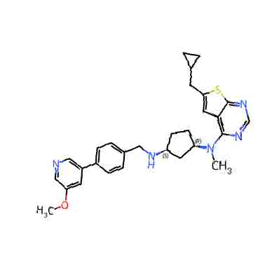 COc1cncc(-c2ccc(CN[C@H]3CC[C@@H](N(C)c4ncnc5sc(CC6CC6)cc45)C3)cc2)c1